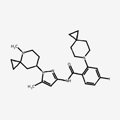 Cc1cc(NC(=O)c2ccc(I)cc2N2CCC3(CC2)CC3)nn1C1CCN(C)C2(CC2)C1